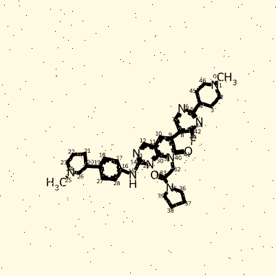 CN1CCC(c2ncc(-c3cc4cnc(Nc5ccc(C6CCCN(C)C6)cc5)nc4n(CC(=O)N4CCCC4)c3=O)c(F)n2)CC1